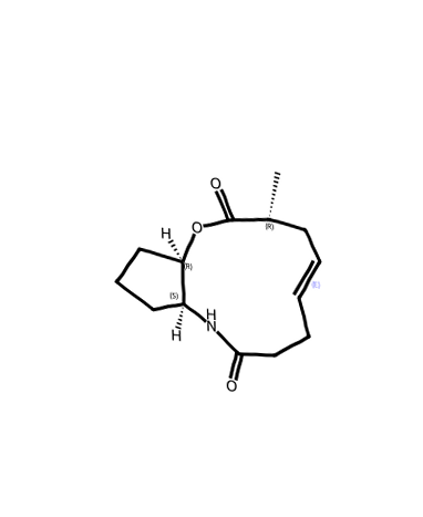 C[C@@H]1C/C=C/CCC(=O)N[C@H]2CCC[C@H]2OC1=O